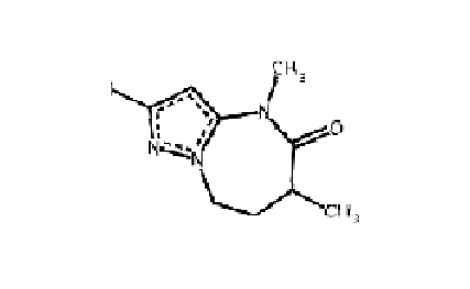 CC1CCn2nc(I)cc2N(C)C1=O